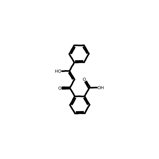 O=C(O)c1ccccc1C(=O)C=C(O)c1ccccc1